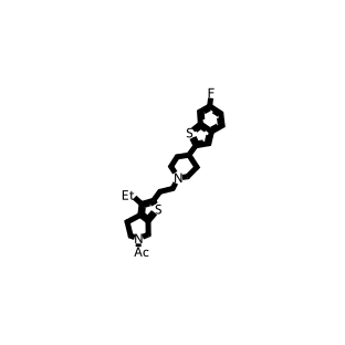 CCc1c(CCN2CCC(c3cc4ccc(F)cc4s3)CC2)sc2c1CCN(C(C)=O)C2